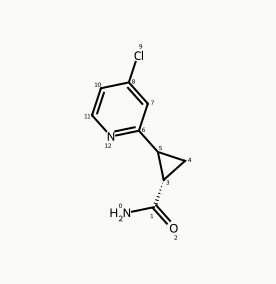 NC(=O)[C@H]1CC1c1cc(Cl)ccn1